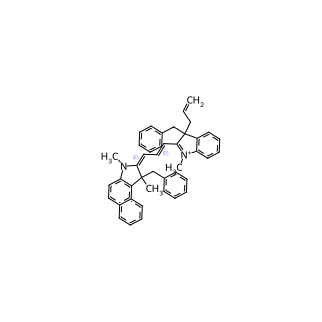 C=CCC1(Cc2ccccc2)C(/C=C/C=C2/N(C)c3ccc4ccccc4c3C2(C)Cc2ccccc2)=[N+](C)c2ccccc21